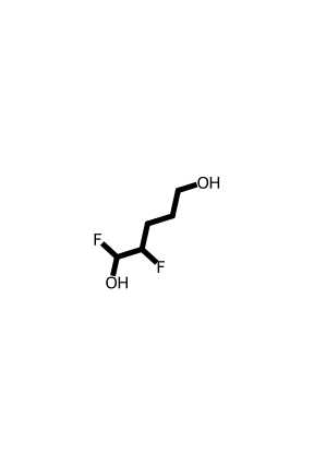 OCCCC(F)C(O)F